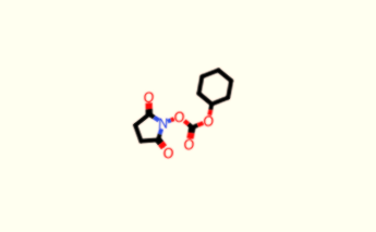 O=C(OC1CCCCC1)ON1C(=O)CCC1=O